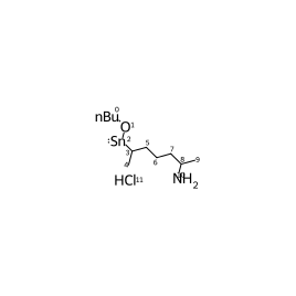 CCCC[O][Sn][CH](C)CCCC(C)N.Cl